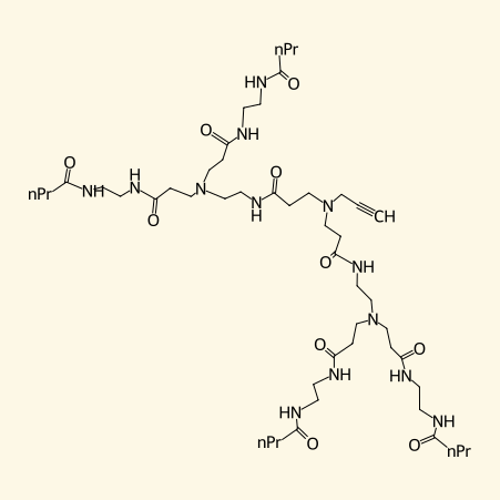 C#CCN(CCC(=O)NCCN(CCC(=O)NCCNC(=O)CCC)CCC(=O)NCCNC(=O)CCC)CCC(=O)NCCN(CCC(=O)NCCNC(=O)CCC)CCC(=O)NCCNC(=O)CCC